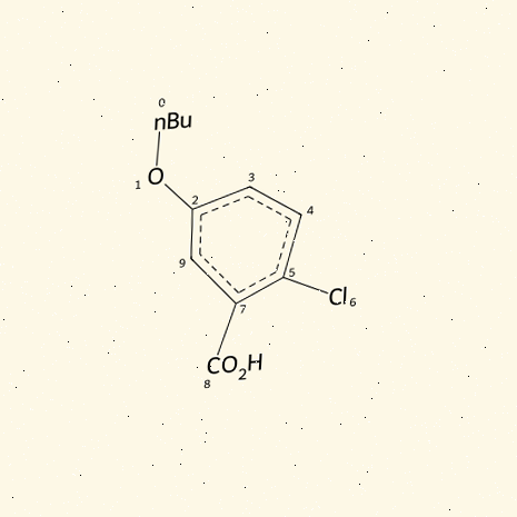 CCCCOc1ccc(Cl)c(C(=O)O)c1